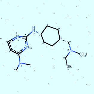 CN(C)c1ccnc(N[C@H]2CC[C@@H](CN(CC(C)(C)C)C(=O)O)CC2)n1